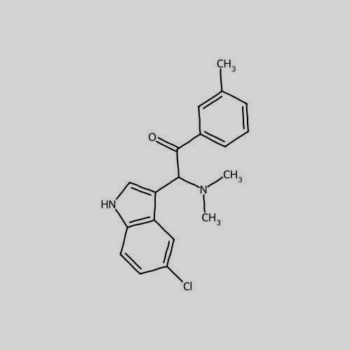 Cc1cccc(C(=O)C(c2c[nH]c3ccc(Cl)cc23)N(C)C)c1